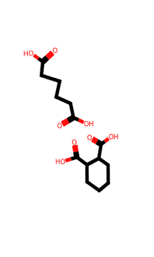 O=C(O)C1CCCCC1C(=O)O.O=C(O)CCCCC(=O)O